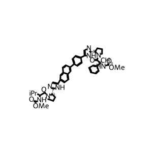 COC(=O)NC(C(=O)N1CCC[C@H]1c1ncc(-c2ccc3cc(-c4ccc(-c5cnc([C@@H]6CCCN6C(=O)[C@](C)(NC(=O)OC)c6ccccc6)[nH]5)cc4)ccc3c2)[nH]1)C(C)C